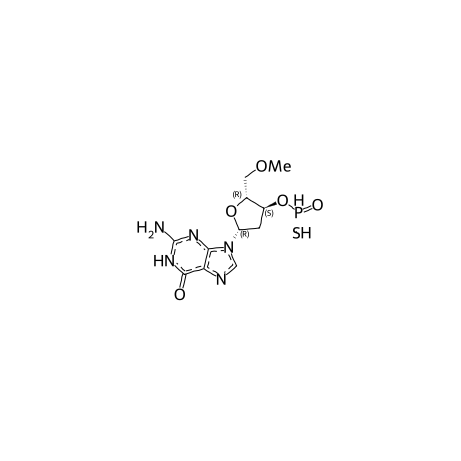 COC[C@H]1O[C@@H](n2cnc3c(=O)[nH]c(N)nc32)C[C@@H]1O[PH](=O)S